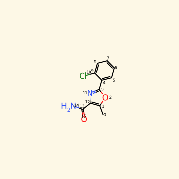 Cc1oc(-c2ccccc2Cl)nc1C(N)=O